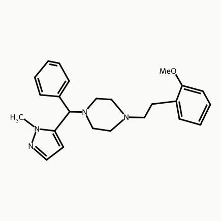 COc1ccccc1CCN1CCN(C(c2ccccc2)c2ccnn2C)CC1